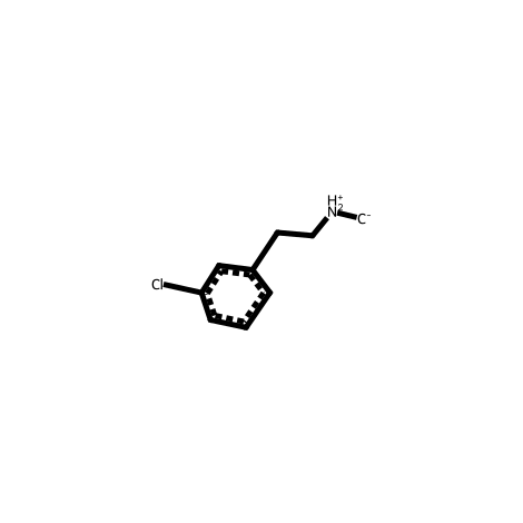 [CH2-][NH2+]CCc1cccc(Cl)c1